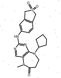 CN1C(=O)CCN(C2CCCC2)c2nc(Nc3ccc4c(c3)CS(=O)(=O)C4)ncc21